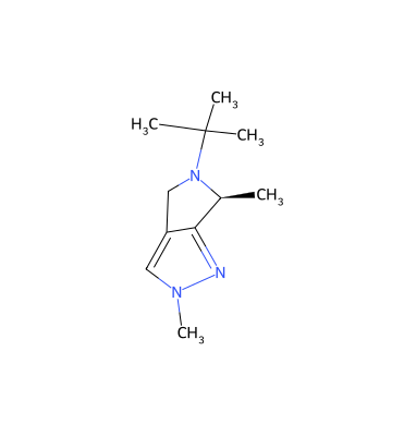 C[C@H]1c2nn(C)cc2CN1C(C)(C)C